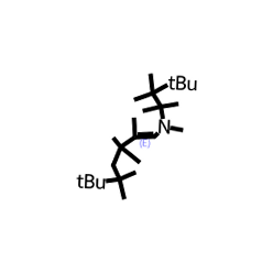 C/C(=C\N(C)C(C)(C)C(C)(C)C(C)(C)C)C(C)(C)CC(C)(C)C(C)(C)C